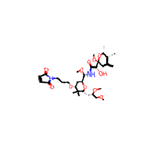 C=C1C[C@](OC)([C@H](O)C(=O)N[C@@H](OC)[C@@H]2C[C@@H](OCCCN3C(=O)C=CC3=O)C(C)(C)[C@@H](C[C@@H](COC)OC)O2)O[C@H](C)[C@@H]1C